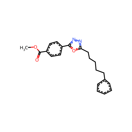 COC(=O)c1ccc(-c2nnc(CCCCCc3ccccc3)o2)cc1